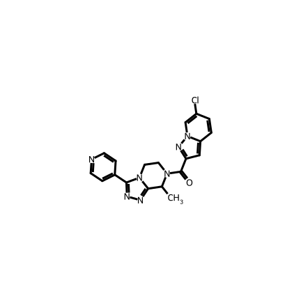 CC1c2nnc(-c3ccncc3)n2CCN1C(=O)c1cc2ccc(Cl)cn2n1